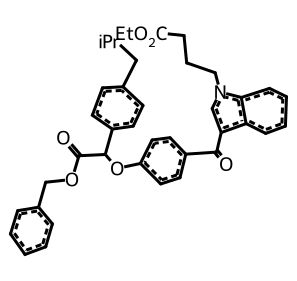 CCOC(=O)CCCn1cc(C(=O)c2ccc(OC(C(=O)OCc3ccccc3)c3ccc(CC(C)C)cc3)cc2)c2ccccc21